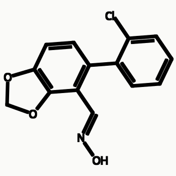 ON=Cc1c(-c2ccccc2Cl)ccc2c1OCO2